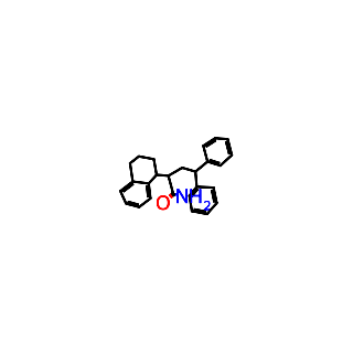 NC(=O)C(CC(c1ccccc1)c1ccccc1)C1CCCc2ccccc21